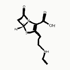 CCNCCC1=C(C(=O)O)N2C(=O)C[C@H]2S1